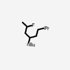 CCCCC(CCC(C)C)CC(C)F